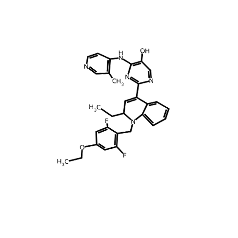 CCOc1cc(F)c(CN2c3ccccc3C(c3ncc(O)c(Nc4ccncc4C)n3)=CC2CC)c(F)c1